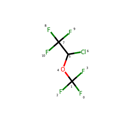 FC(F)(F)OC(Cl)C(F)(F)F